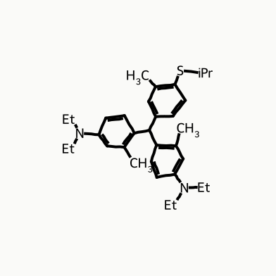 CCN(CC)c1ccc(C(c2ccc(SC(C)C)c(C)c2)c2ccc(N(CC)CC)cc2C)c(C)c1